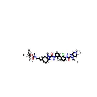 Cc1c(NC(=O)c2nc3c(n2C)CCC(CCCNC(=O)OC(C)(C)C)CCC3)cccc1-c1cccc(NC(=O)c2nc3c(n2C)CCN(C)C3)c1Cl